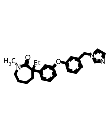 CCC1(c2cccc(Oc3cccc(Cn4ccnc4)c3)c2)CCCCN(C)C1=O